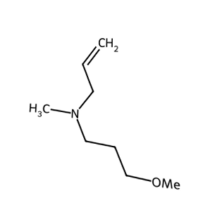 C=CCN(C)CCCOC